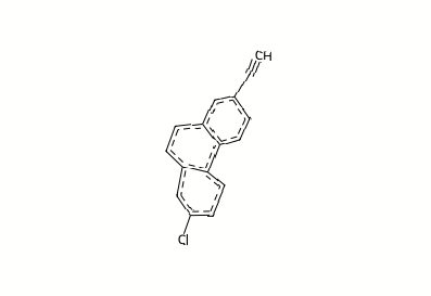 C#Cc1ccc2c(ccc3cc(Cl)ccc32)c1